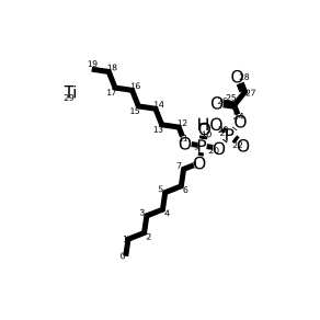 CCCCCCCCOP(=O)(OCCCCCCCC)OP(=O)(O)OC(=O)C=O.[Ti]